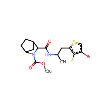 CC(C)(C)OC(=O)N1C2CCC(C2)C1C(=O)NC(C#N)Cc1scc(Br)c1F